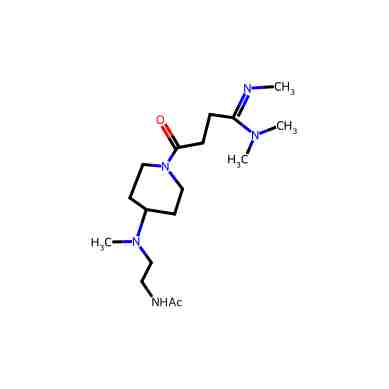 C/N=C(/CCC(=O)N1CCC(N(C)CCNC(C)=O)CC1)N(C)C